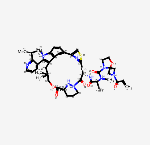 C=CC(=O)N1CC2(C1)OCCN2C(=O)N(C)C(C(=O)N[C@H]1Cc2nc(cs2)-c2ccc3c(c2)c(c(-c2cccnc2[C@H](C)OC)n3CC)CC(C)(C)COC(=O)[C@@H]2CCCN(N2)C1=O)C(C)C